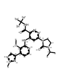 [2H]C([2H])([2H])NC(=O)c1nnc(N2CCN(C(C)C)C2=O)cc1Nc1nccc(-c2cnn(C)n2)c1OC